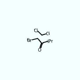 CC(C)C(=O)CBr.ClCCl